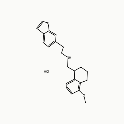 COc1cccc2c1CCCC2CNCCc1ccc2ccoc2c1.Cl